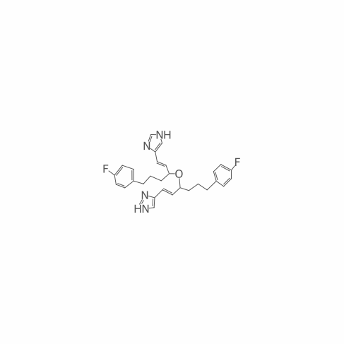 Fc1ccc(CCCC(C=Cc2c[nH]cn2)OC(C=Cc2c[nH]cn2)CCCc2ccc(F)cc2)cc1